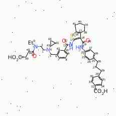 CCN(CCN(Cc1cccc(C(=O)Nc2sc3c(c2C(=O)Nc2ccc(CCCc4ccc(C(=O)O)cc4)cc2)CCCC3)c1)C1CC1)C(=O)CCC(=O)O